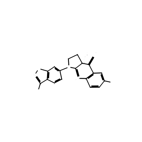 Cc1ccc2c(c1)C(=O)[C@]1(O)CCN(c3ccc4c(C)noc4c3)C1=N2